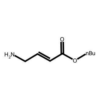 CCCCOC(=O)/C=C/CN